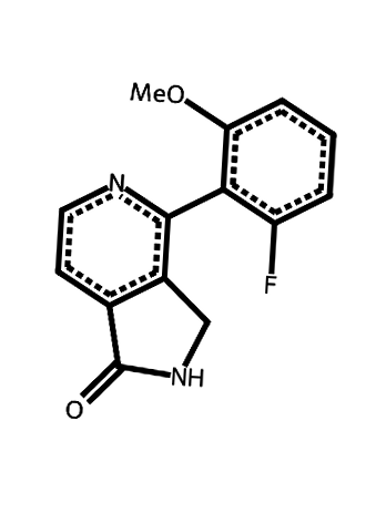 COc1cccc(F)c1-c1nccc2c1CNC2=O